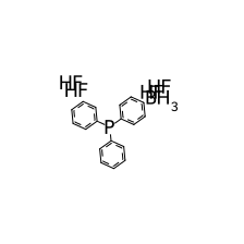 B.F.F.F.F.c1ccc(P(c2ccccc2)c2ccccc2)cc1